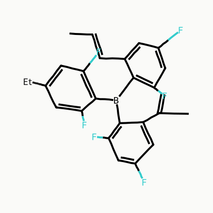 C=C(C)c1cc(F)cc(F)c1B(c1c(F)cc(CC)cc1F)c1c(F)cc(F)cc1/C=C/C